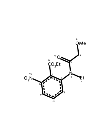 CCOC(=O)c1c(N(CC)C(=O)COC)cccc1[N+](=O)[O-]